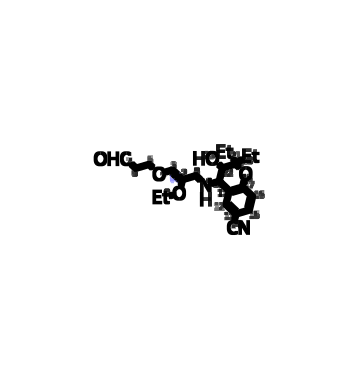 CCO/C(=C\OCCC=O)CNC1c2cc(C#N)ccc2OC(CC)(CC)C1O